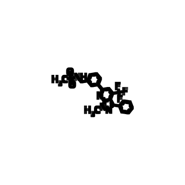 Cn1nc(-c2ccccc2)c2c(C(F)(F)F)cc(-c3cccc(CNS(C)(=O)=O)c3)nc21